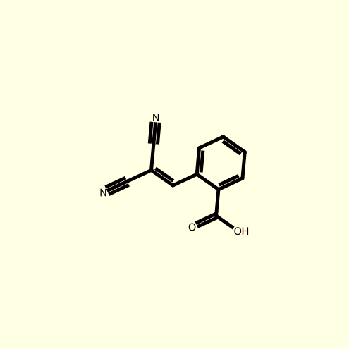 N#CC(C#N)=Cc1ccccc1C(=O)O